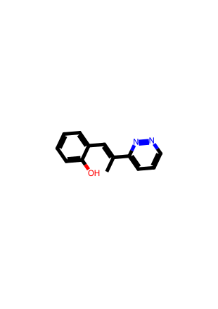 C/C(=C\c1ccccc1O)c1cccnn1